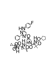 C=CC1C[C@]1(NC(=O)[C@@H]1C[C@@H](Oc2cc(Nc3ccc(F)cc3)nc(-c3ccccc3)n2)CN1C(=O)[C@@H](NC(=O)OC1CCCC1)C(C)(C)C)C(=O)NS(=O)(=O)C1CC1